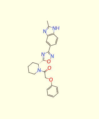 Cc1nc2cc(-c3noc([C@H]4CCCCN4C(=O)COc4ccccc4)n3)ccc2[nH]1